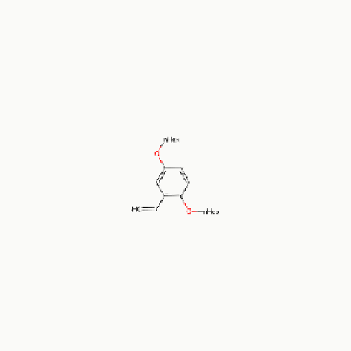 [CH]=Cc1cc(OCCCCCC)[c]cc1OCCCCCC